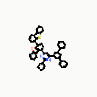 c1ccc(-c2cc(-c3ccccc3)cc(-c3cc(-c4ccc(-c5cccc6c5sc5ccccc56)c5oc6ccccc6c45)nc(-c4ccccc4)n3)c2)cc1